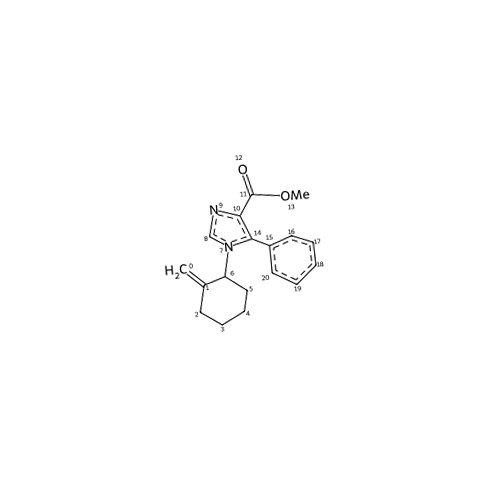 C=C1CCCCC1n1cnc(C(=O)OC)c1-c1ccccc1